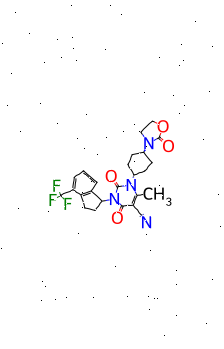 Cc1c(C#N)c(=O)n(C2CCc3c2cccc3C(F)(F)F)c(=O)n1[C@H]1CC[C@H](N2CCOC2=O)CC1